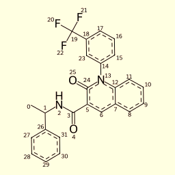 CC(NC(=O)c1cc2ccccc2n(-c2cccc(C(F)(F)F)c2)c1=O)c1ccccc1